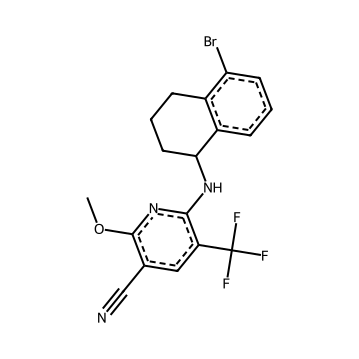 COc1nc(NC2CCCc3c(Br)cccc32)c(C(F)(F)F)cc1C#N